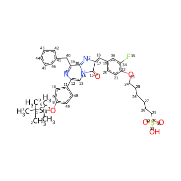 CC(C)(C)[Si](C)(C)Oc1ccc(C2=CN3C(=O)C(=Cc4ccc(OCCCCCCS(=O)(=O)O)c(F)c4)N=C3C(Cc3ccccc3)=N2)cc1